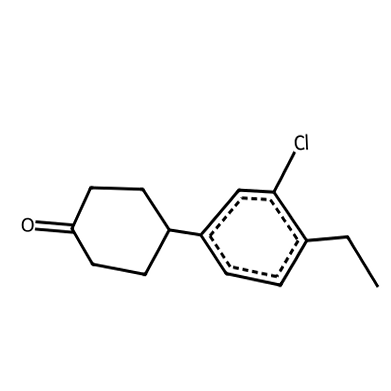 CCc1ccc(C2CCC(=O)CC2)cc1Cl